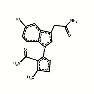 Cc1csc(-n2cc(CC(N)=O)c3cc(O)ccc32)c1C(N)=O